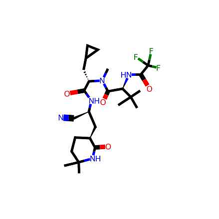 CN(C(=O)[C@@H](NC(=O)C(F)(F)F)C(C)(C)C)[C@@H](CC1CC1)C(=O)N[C@H](C#N)C[C@@H]1CCC(C)(C)NC1=O